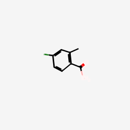 BC(=O)c1ccc(Cl)cc1C